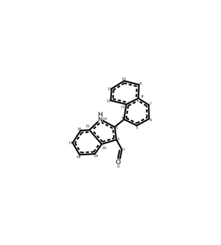 O=Cc1c(-c2cccc3ccccc23)[nH]c2ccccc12